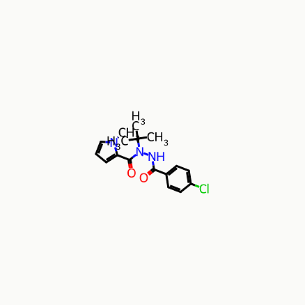 Cn1cccc1C(=O)N(NC(=O)c1ccc(Cl)cc1)C(C)(C)C